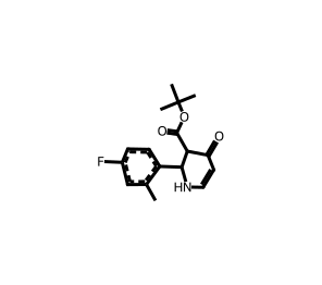 Cc1cc(F)ccc1C1NC=CC(=O)C1C(=O)OC(C)(C)C